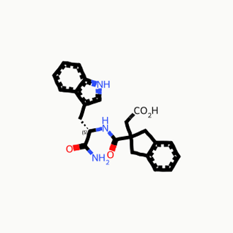 NC(=O)[C@H](Cc1c[nH]c2ccccc12)NC(=O)C1(CC(=O)O)Cc2ccccc2C1